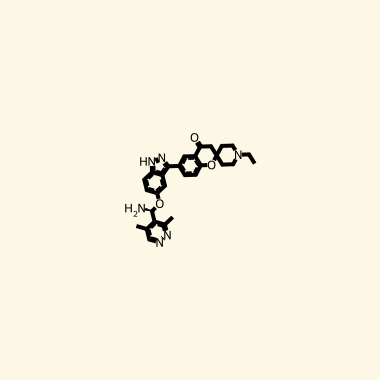 CCN1CCC2(CC1)CC(=O)c1cc(-c3n[nH]c4ccc(O[C@H](N)c5c(C)cnnc5C)cc34)ccc1O2